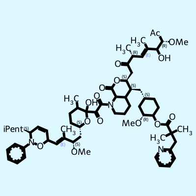 CCC[C@H](C)C1C=CC(/C=C(\C)[C@H](C[C@@H]2CCC(C)C(O)(C(=O)C(=O)N3CCCC4C3C(=O)O[C@@H](CC(=O)[C@H](C)/C=C(\C)C(O)[C@@H](OC)C(C)=O)[C@H]4C[C@@H]3CCC(OC(=O)C(C)(C)Cc4ccccn4)[C@H](OC)C3)O2)OC)ON1c1ccccc1